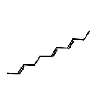 [CH2]CC=CC=CCCC=CC